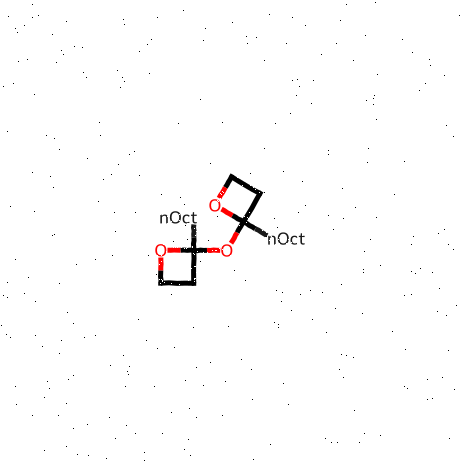 CCCCCCCCC1(OC2(CCCCCCCC)CCO2)CCO1